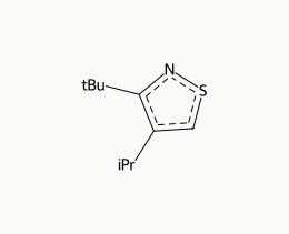 CC(C)c1csnc1C(C)(C)C